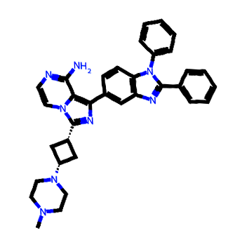 CN1CCN([C@H]2C[C@@H](c3nc(-c4ccc5c(c4)nc(-c4ccccc4)n5-c4ccccc4)c4c(N)nccn43)C2)CC1